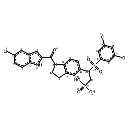 O=C(c1cc2cc(Cl)ccc2[nH]1)N1CCc2cc(N(CP(=O)(O)O)S(=O)(=O)c3cc(Cl)cc(Cl)c3)ccc21